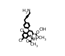 COC(=O)[C@H]1C[C@H](c2ccc(CC#CCN)cc2)c2c(Cl)cc(Cl)cc2N1NC(C)=O.Cl